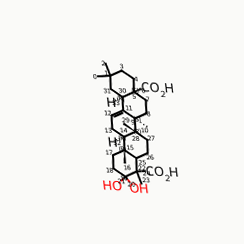 CC1(C)CC[C@]2(C(=O)O)CC[C@]3(C)C(=CC[C@@H]4[C@@]5(C)CCC(O)(O)C(C)(C(=O)O)C5CC[C@]43C)[C@H]2C1